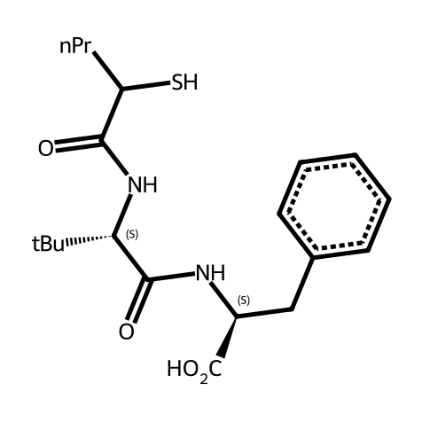 CCCC(S)C(=O)N[C@H](C(=O)N[C@@H](Cc1ccccc1)C(=O)O)C(C)(C)C